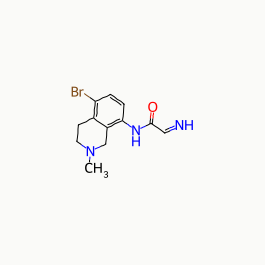 CN1CCc2c(Br)ccc(NC(=O)C=N)c2C1